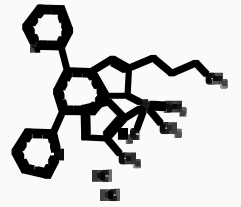 CCCCC1=Cc2c(-c3ccccn3)cc(-c3ccccn3)cc2[CH]1[Zr]([CH3])([CH3])(=[SiH2])[C]1=C(C)C=CC1.Cl.Cl